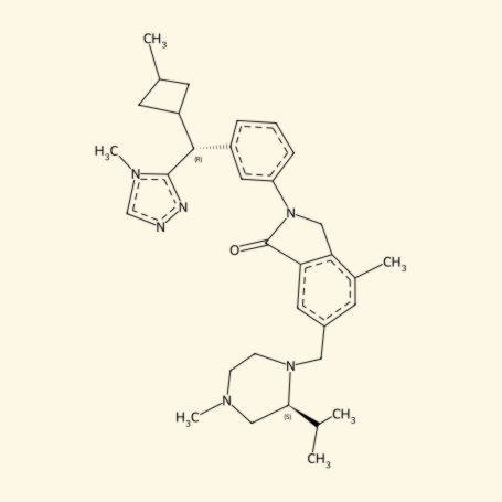 Cc1cc(CN2CCN(C)C[C@@H]2C(C)C)cc2c1CN(c1cccc([C@H](c3nncn3C)C3CC(C)C3)c1)C2=O